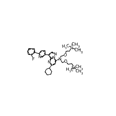 C[Si](C)(C)CCOCN(COCC[Si](C)(C)C)c1cc(C2CCCCC2)nc2c(-c3ccc(-c4ccccc4F)nc3)cnn12